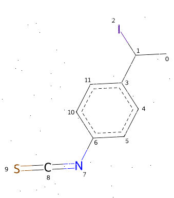 CC(I)c1ccc(N=C=S)cc1